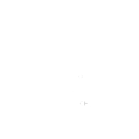 C[C](CF)Oc1ccccc1